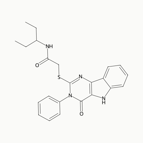 CCC(CC)NC(=O)CSc1nc2c([nH]c3ccccc32)c(=O)n1-c1ccccc1